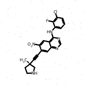 C[C@]1(C#Cc2cc3ncnc(Nc4cccc(Cl)c4F)c3cc2[N+](=O)[O-])CCNC1